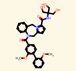 COc1ccccc1-c1ccc(C(=O)N2Cc3ccc(C(=O)NC(CO)(CO)CO)n3Cc3ccccc32)cc1OC